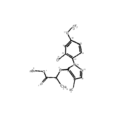 CCCCOC(=O)C(C)Oc1c(C#N)cnn1-c1ccc(OC(F)(F)F)cc1Cl